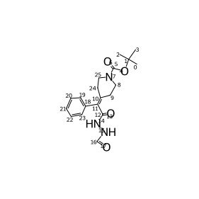 CC(C)(C)OC(=O)N1CCC(=C(C(=O)NNC=O)c2ccccc2)CC1